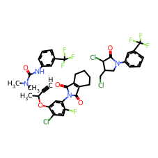 C#CC(C)Oc1cc(N2C(=O)C3=C(CCCC3)C2=O)c(F)cc1Cl.CN(C)C(=O)Nc1cccc(C(F)(F)F)c1.O=C1C(Cl)C(CCl)CN1c1cccc(C(F)(F)F)c1